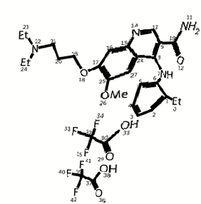 CCc1ccccc1Nc1c(C(N)=O)cnc2cc(OCCCN(CC)CC)c(OC)cc12.O=C(O)C(F)(F)F.O=C(O)C(F)(F)F